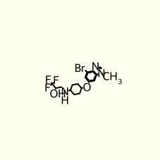 Cn1cnc2c(Br)cc(OC3CCC(NC[C@@H](O)C(F)(F)F)CC3)cc21